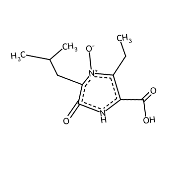 CCc1c(C(=O)O)[nH]c(=O)c(CC(C)C)[n+]1[O-]